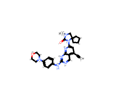 C#Cc1cc(N2C(=O)N(C)CC23CCCC3)nc2nc(Nc3ccc(N4CCOCC4)cc3)ncc12